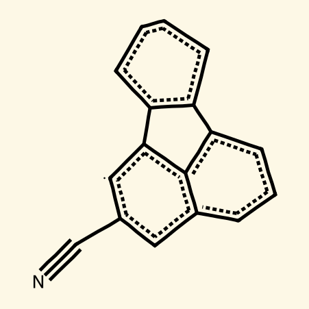 N#Cc1[c]c2c3c(cccc3c1)-c1ccccc1-2